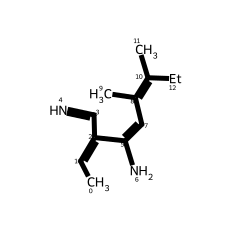 C\C=C(C=N)/C(N)=C\C(C)=C(\C)CC